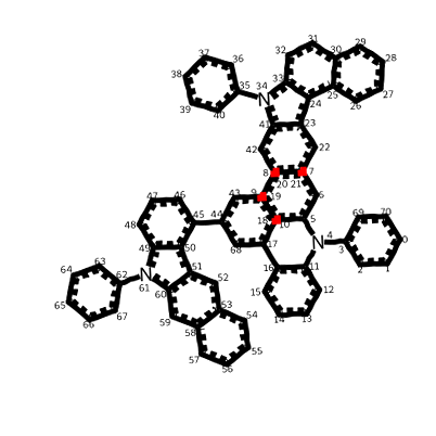 c1ccc(N(c2ccccc2)c2ccccc2-c2cc(-c3ccc4c5c6ccccc6ccc5n(-c5ccccc5)c4c3)cc(-c3cccc4c3c3cc5ccccc5cc3n4-c3ccccc3)c2)cc1